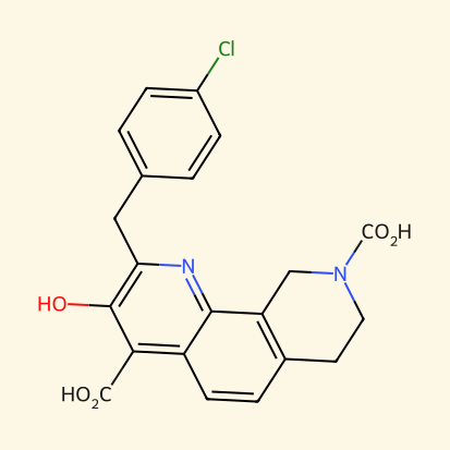 O=C(O)c1c(O)c(Cc2ccc(Cl)cc2)nc2c3c(ccc12)CCN(C(=O)O)C3